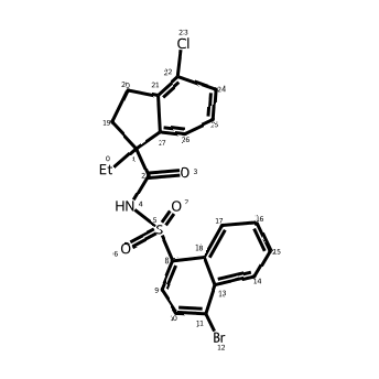 CCC1(C(=O)NS(=O)(=O)c2ccc(Br)c3ccccc23)CCc2c(Cl)cccc21